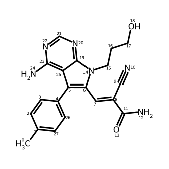 Cc1ccc(-c2c(C=C(C#N)C(N)=O)n(CCCO)c3ncnc(N)c23)cc1